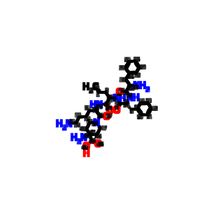 C=CC[C@@H](NC(=O)[C@@H](Cc1ccccc1)NC(=O)[C@H](N)Cc1ccccc1)C(=O)N[C@H](CCCCN)C(=O)N1CCC(N)(C(=O)O)CC1